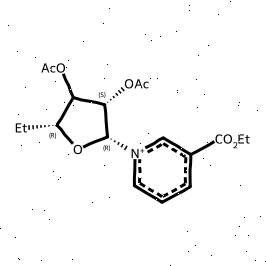 CCOC(=O)c1ccc[n+]([C@@H]2O[C@H](CC)C(OC(C)=O)[C@@H]2OC(C)=O)c1